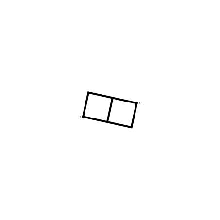 [CH]1CC2[CH]CC12